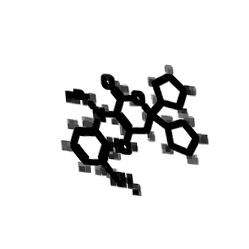 CCCN(C1=C(O)CC(C2CCCC2)(C2CCCC2)OC1=O)c1cccc(N)c1